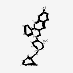 Cl.Clc1ccc2cc(CNC3CCN(Cc4ccccc4)CC3)c(-c3ccccc3)nc2c1